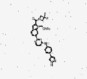 COCn1c(C(=O)N2CC(F)(F)C2)cc2ccc(-c3nccc(Nc4ccc(-c5cn[nH]c5)cc4)n3)cc21